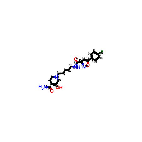 NC(=O)[C@@H]1CCN(CCCCCNC(=O)c2cc(-c3ccc(F)cc3)on2)C[C@@H]1O